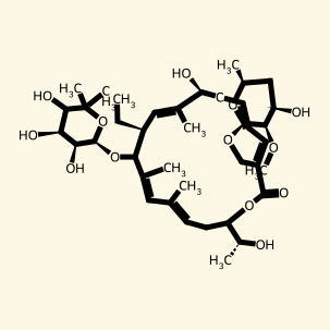 CC[C@H]1/C=C(\C)[C@@H](O)C/C=C/C=C(\CO[C@H]2O[C@@H](C)C[C@@H](O)[C@H]2OC)C(=O)OC([C@@H](C)O)C/C=C(C)/C=C(\C)C1O[C@@H]1OC(C)(C)C(O)[C@H](O)[C@@H]1O